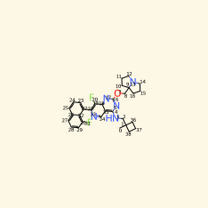 CC1(CNc2nc(OCC34CCCN3CCC4)nc3c(F)c(-c4cccc5cccc(F)c45)ncc23)CCC1